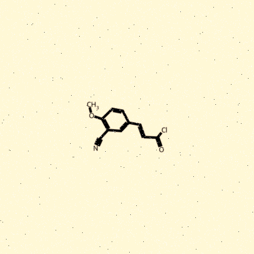 COc1ccc(C=CC(=O)Cl)cc1C#N